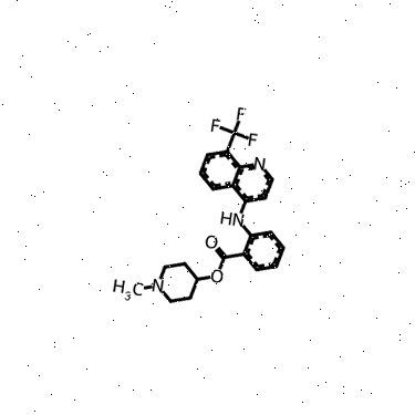 CN1CCC(OC(=O)c2ccccc2Nc2ccnc3c(C(F)(F)F)cccc23)CC1